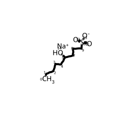 CCCCCC(O)CCCS(=O)(=O)[O-].[Na+]